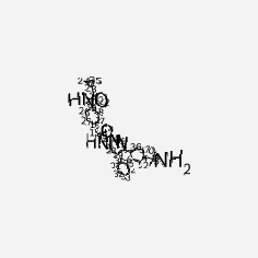 CC(C)(N)c1ccc(-c2nnc(NC(=O)C[C@H]3CC[C@H](NC(=O)C4CC4)CC3)cc2-c2ccccc2)cc1